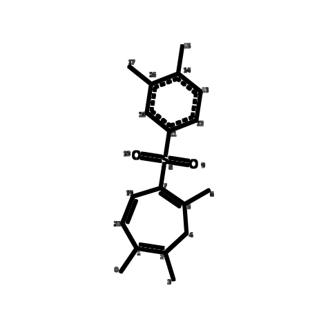 CC1=C(C)CC(C)=C(S(=O)(=O)c2ccc(C)c(C)c2)C=C1